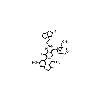 CCc1c(F)ccc2cc(O)cc(-c3ncc4c(N5CC6COCC(CO)(C5)C6(F)F)nc(OC[C@@]56CCCN5C[C@H](F)C6)nc4c3F)c12